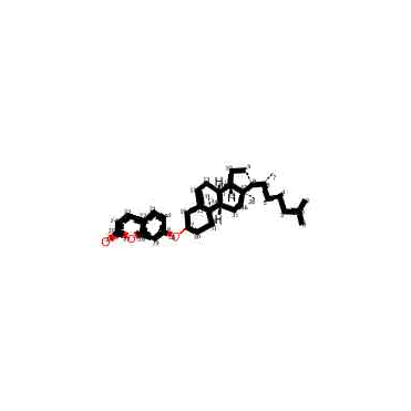 CC(C)CCC[C@@H](C)[C@H]1CC[C@H]2[C@@H]3CC=C4C[C@H](Oc5ccc6ccc(=O)oc6c5)CC[C@]4(C)[C@H]3CC[C@]12C